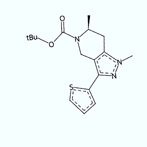 C[C@H]1Cc2c(c(-c3cccs3)nn2C)CN1C(=O)OC(C)(C)C